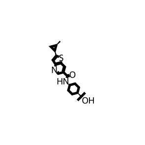 C[C@@H]1C[C@@H]1c1cc2ncc(C(=O)N[C@H]3CC[C@H](C(C)(C)O)CC3)cc2s1